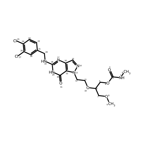 CNC(=O)OCC(COC)OCCn1ncc2nc(NCc3ccc(Cl)c(Cl)c3)[nH]c(=O)c21